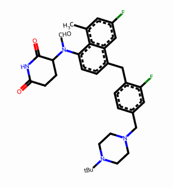 Cc1cc(F)cc2c(Cc3ccc(CN4CCN(C(C)(C)C)CC4)cc3F)ccc(N(C=O)C3CCC(=O)NC3=O)c12